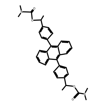 CC(OC(=O)N(C)C)c1ccc(-c2c3ccccc3c(-c3ccc(C(C)OC(=O)N(C)C)cc3)c3ccccc23)cc1